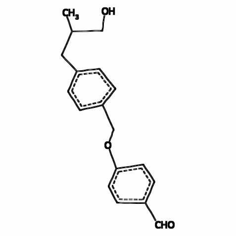 CC(CO)Cc1ccc(COc2ccc(C=O)cc2)cc1